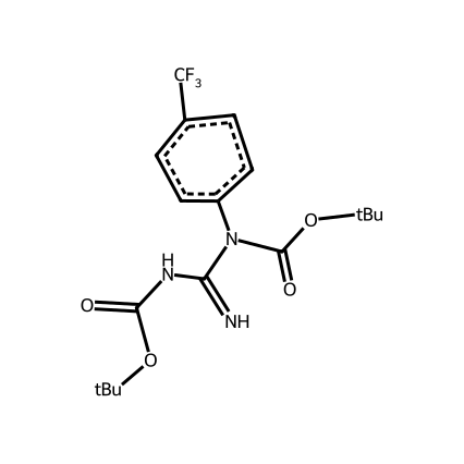 CC(C)(C)OC(=O)NC(=N)N(C(=O)OC(C)(C)C)c1ccc(C(F)(F)F)cc1